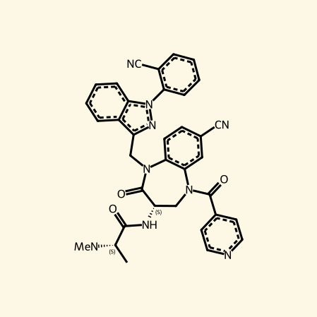 CN[C@@H](C)C(=O)N[C@H]1CN(C(=O)c2ccncc2)c2cc(C#N)ccc2N(Cc2nn(-c3ccccc3C#N)c3ccccc23)C1=O